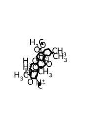 [C-]#[N+]C1=C[C@]2(C)C3=CC(=O)[C@@H]4[C@@H]5CC(C)(C)CC[C@]5(C(=O)OC)CC[C@@]4(C)[C@]3(C)CC[C@H]2[C@H](C)C1=O